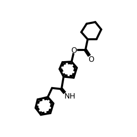 N=C(Cc1ccccc1)c1ccc(OC(=O)C2CCCCC2)cc1